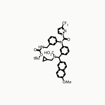 COc1ccc2cc(C(c3cccc(N(C(=O)n4ccc(C(F)(F)F)n4)c4cccc(CNC(=O)OC(C)(C)C)c4)c3)N(CC3CC3)C(=O)O)ccc2c1